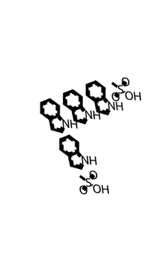 CS(=O)(=O)O.CS(=O)(=O)O.c1ccc2[nH]ccc2c1.c1ccc2[nH]ccc2c1.c1ccc2[nH]ccc2c1.c1ccc2[nH]ccc2c1